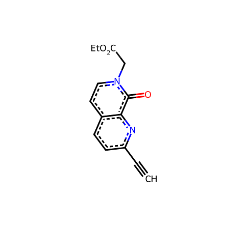 C#Cc1ccc2ccn(CC(=O)OCC)c(=O)c2n1